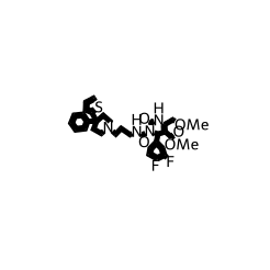 COCC1=C(C(=O)OC)C(c2ccc(F)c(F)c2)N(C(=O)NCCCN2CCC(c3ccccc3)(c3cccs3)CC2)C(=O)N1